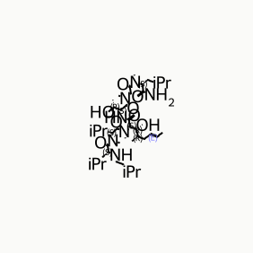 C/C=C/C[C@@H](C)[C@@H](O)[C@@H](C(=O)N[C@H](C(=O)N(C)CC(=O)N(C)[C@@H](CC(C)C)C(N)=O)[C@@H](C)O)N(C)C(=O)[C@H](C(C)C)N(C)C(=O)[C@H](CC(C)C)NCCC(C)C